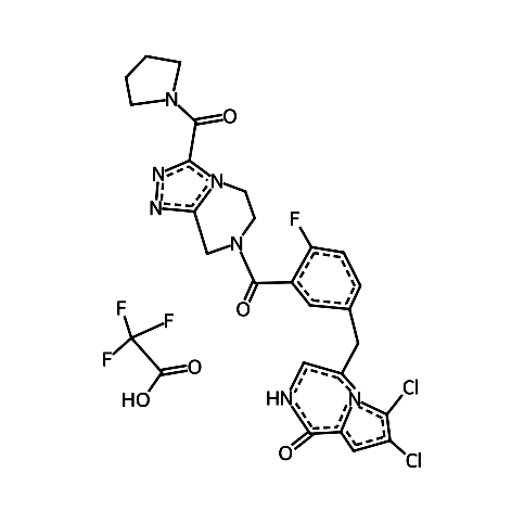 O=C(O)C(F)(F)F.O=C(c1cc(Cc2c[nH]c(=O)c3cc(Cl)c(Cl)n23)ccc1F)N1CCn2c(nnc2C(=O)N2CCCC2)C1